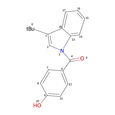 CC(C)(C)c1cn(C(=O)c2ccc(O)cc2)c2ccccc12